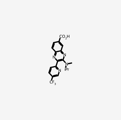 CC(C)N(C)c1nc2cc(C(=O)O)ccc2nc1-c1ccc(C(F)(F)F)cn1